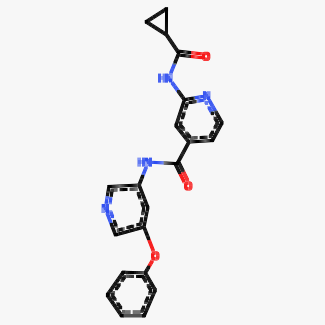 O=C(Nc1cncc(Oc2ccccc2)c1)c1ccnc(NC(=O)C2CC2)c1